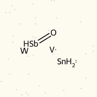 [O]=[SbH].[SnH2].[V].[W]